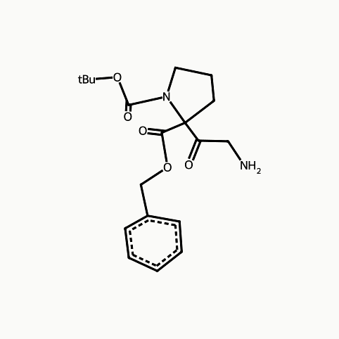 CC(C)(C)OC(=O)N1CCCC1(C(=O)CN)C(=O)OCc1ccccc1